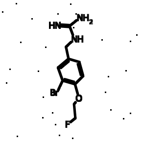 N=C(N)NCc1ccc(OCCF)c(Br)c1